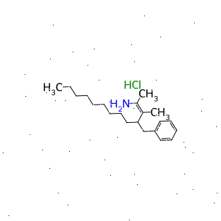 CCCCCCCCCC(Cc1ccccc1)C(C)=C(C)N.Cl